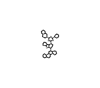 c1ccc(-c2nc(-c3ccc4ccccc4c3)nc(-c3ccc(-c4cc5c6ccccc6ccc5c5ccccc45)c4oc5ccccc5c34)n2)cc1